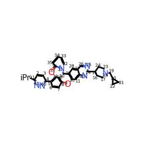 CC(C)c1ccc(-c2ccc(Oc3cc4nc(C5CCN(CC6CC6)CC5)ncc4cc3Cn3ccccc3=O)cc2)nn1